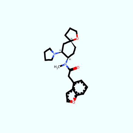 CN(C(=O)Cc1cccc2occc12)[C@@H]1CC[C@]2(CCCO2)C[C@@H]1N1CCCC1